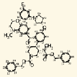 CN1CCOc2ccc(CO[C@H]3CN(C(=O)OCc4ccccc4)C[C@@H](N(C)C(=O)OCc4ccccc4)[C@@H]3c3ccc(O[C@H]4CCN(c5cccc(F)c5)C4)cc3)cc21